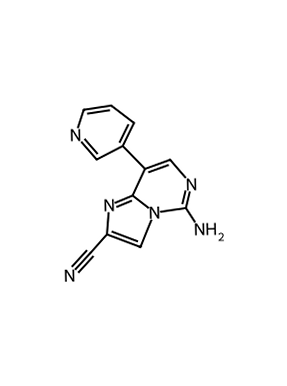 N#Cc1cn2c(N)ncc(-c3cccnc3)c2n1